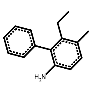 CCc1c(C)ccc(N)c1-c1ccccc1